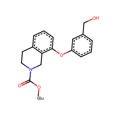 CC(C)(C)OC(=O)N1CCc2cccc(Oc3cccc(CO)c3)c2C1